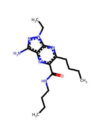 CCCCNC(=O)c1nc2c(N)nn(CC)c2nc1CCCC